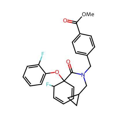 COC(=O)c1ccc(CN(CC2CC2)C(=O)C2(Oc3ccccc3F)C=CC=CC2F)cc1